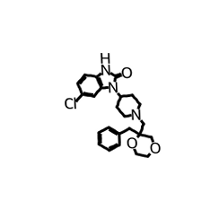 O=c1[nH]c2ccc(Cl)cc2n1C1CCN(CC2(Cc3ccccc3)COCCO2)CC1